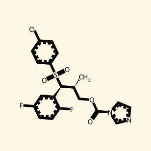 C[C@H](COC(=O)n1ccnc1)[C@@H](c1cc(F)ccc1F)S(=O)(=O)c1ccc(Cl)cc1